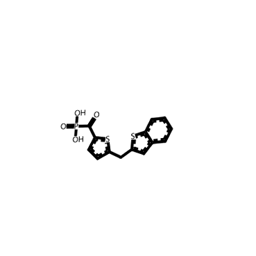 O=C(c1ccc(Cc2cc3ccccc3s2)s1)P(=O)(O)O